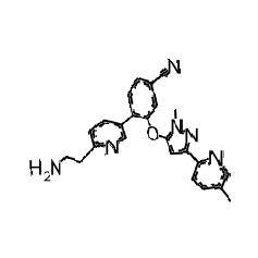 Cc1ccc(-c2cc(Oc3cc(C#N)ccc3-c3ccc(CCN)nc3)n(C)n2)nc1